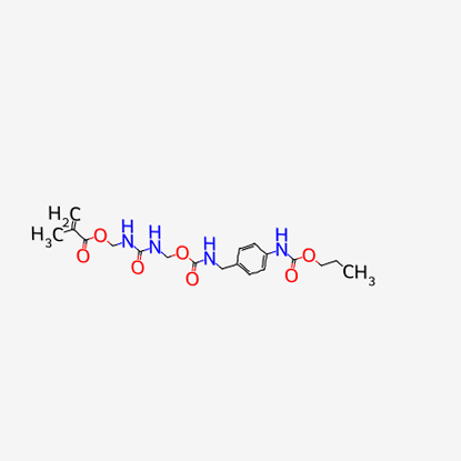 C=C(C)C(=O)OCNC(=O)NCOC(=O)NCc1ccc(NC(=O)OCCC)cc1